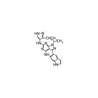 Cc1n[nH]cc1Nc1nc(N)c2c(-c3ccc4[nH]ccc4c3)nn(C(C)C)c2n1